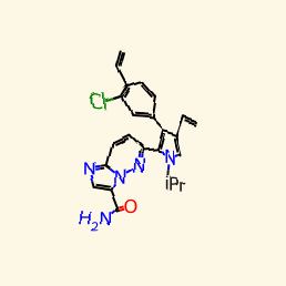 C=Cc1ccc(-c2c(C=C)cn(C(C)C)c2-c2ccc3ncc(C(N)=O)n3n2)cc1Cl